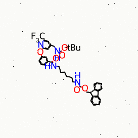 CC(C)(C)OC(=O)NCc1cc(Oc2cccc(C(=O)NCCCCCCNC(=O)OCC3c4ccccc4-c4ccccc43)c2)nc(C(F)(F)F)c1